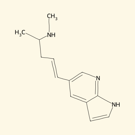 CNC(C)C/C=C/c1cnc2[nH]ccc2c1